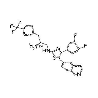 N[C@H](CNc1nc(-c2ccc(F)c(F)c2)c(-c2ccc3cnccc3c2)s1)Cc1ccc(C(F)(F)F)cc1